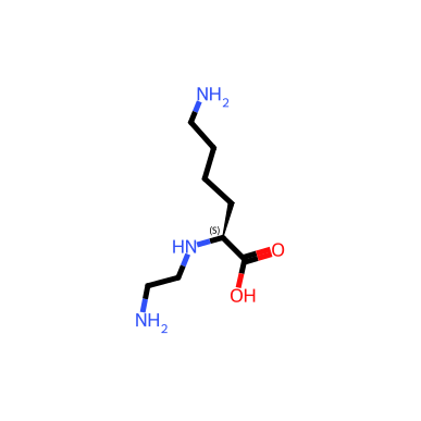 NCCCC[C@H](NCCN)C(=O)O